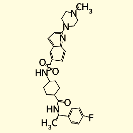 C[C@@H](NC(=O)C1CCC(NS(=O)(=O)c2ccc3nc(N4CCN(C)CC4)ccc3c2)CC1)c1ccc(F)cc1